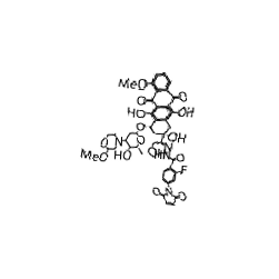 COc1cccc2c1C(=O)c1c(O)c3c(c(O)c1C2=O)C[C@@](O)(/C(CO)=N/NC(=O)c1ccc(N2C(=O)C=CC2=O)cc1F)C[C@@H]3O[C@H]1CC(N2CCO[C@H](OC)C2)[C@H](O)[C@H](C)O1